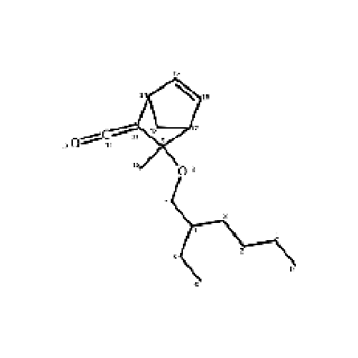 CCCCC(CC)COC1(C)C(=C=O)C2C=CC1C2